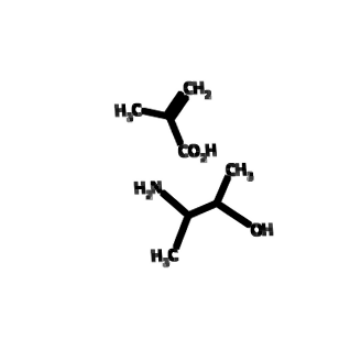 C=C(C)C(=O)O.CC(N)C(C)O